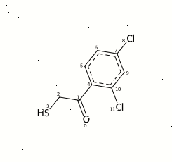 O=C(CS)c1ccc(Cl)cc1Cl